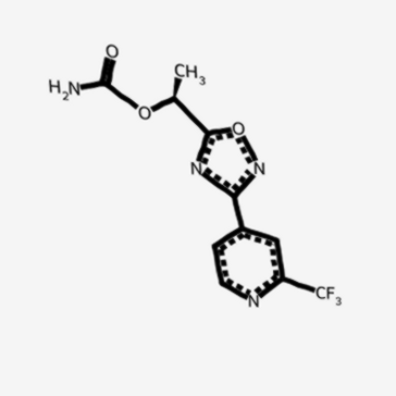 C[C@H](OC(N)=O)c1nc(-c2ccnc(C(F)(F)F)c2)no1